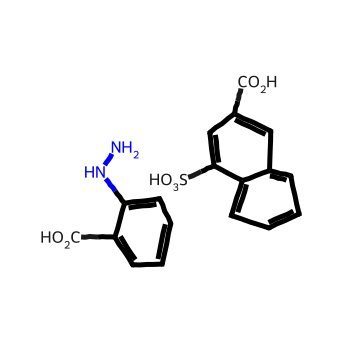 NNc1ccccc1C(=O)O.O=C(O)c1cc(S(=O)(=O)O)c2ccccc2c1